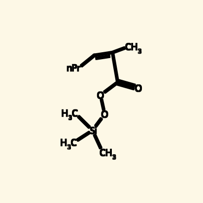 CCCC=C(C)C(=O)OO[Si](C)(C)C